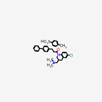 CN(C)CC1Cc2cc(Cl)ccc2N(C(=O)CCc2ccc(-c3ccccc3)cc2)C1.Cc1ccc(S(=O)(=O)O)cc1